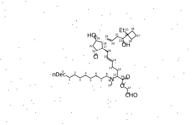 CCCCCCCCCCCCCCCCCCN(C)C(CCC=CC[C@@H]1[C@@H](C=CC[C@H](O)C2(CC)CCC2)[C@H](O)C[C@H]1Cl)C(=O)OCC=O